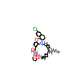 CO[C@H]1C2=C[C@@H](C2)[C@H](C)N(C[C@@H]2CCCO2)S(=O)(=O)NC(=O)c2ccc3c(c2)N(C[C@@H]2CC[C@H]21)C[C@@]1(CCCc2cc(Cl)ccc21)CO3